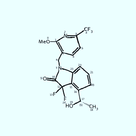 COc1nc(C(F)(F)F)ccc1CN1C(=O)C(F)(F)c2c([C@H](C)O)cccc21